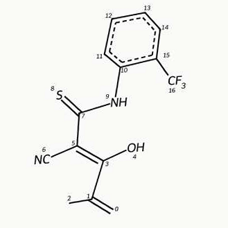 C=C(C)C(O)=C(C#N)C(=S)Nc1ccccc1C(F)(F)F